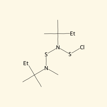 CCC(C)(C)N(C)SN(SCl)C(C)(C)CC